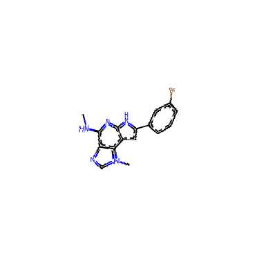 CNc1nc2[nH]c(-c3cccc(Br)c3)cc2c2c1ncn2C